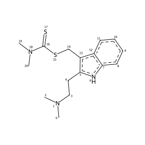 CN(C)CCc1[nH]c2ccccc2c1CSC(=S)N(C)C